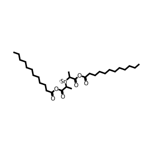 CCCCCCCCCCCC(=O)OC(=O)[CH](C)[Sn][CH](C)C(=O)OC(=O)CCCCCCCCCCC